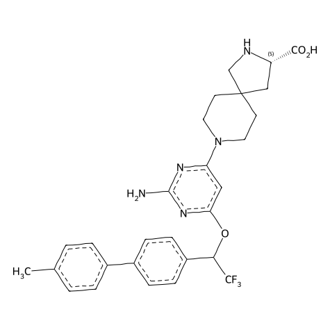 Cc1ccc(-c2ccc(C(Oc3cc(N4CCC5(CC4)CN[C@H](C(=O)O)C5)nc(N)n3)C(F)(F)F)cc2)cc1